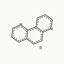 [Ti].c1cnc2c(c1)ccc1ncccc12